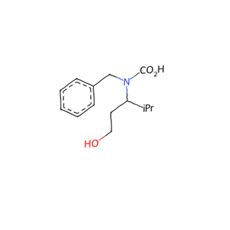 CC(C)C(CCO)N(Cc1ccccc1)C(=O)O